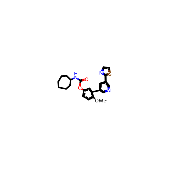 COc1ccc(OC(=O)NC2CCCCCC2)cc1-c1cncc(-c2nccs2)c1